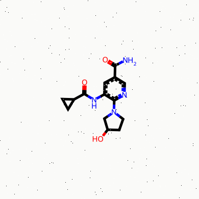 NC(=O)c1cnc(N2CCC(O)C2)c(NC(=O)C2CC2)c1